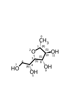 C[C@H]1O[C@@H]([C@H](O)CO)[C@@H](O)[C@@H]1O